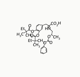 CCC(C)(C)C(=O)Oc1ccc(C[C@H](NCC(C)OC(=O)Oc2ccccc2)C(=O)O)cc1OC(=O)C(C)(C)CC